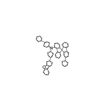 c1ccc(-c2ccc(N(c3ccc(-c4ccc5c(c4)oc4ccccc45)cc3)c3cccc4c3-c3ccccc3C43c4ccccc4-c4ccc(-c5ccccc5)cc43)cc2)cc1